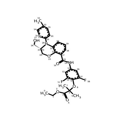 CCOC(=O)C(C)(C)Oc1c(F)cc(NC(=O)c2cccc3c2OC[C@H](CO)N3c2ccc(C)cn2)cc1F